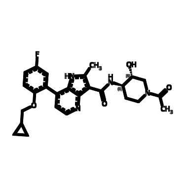 CC(=O)N1CC[C@@H](NC(=O)c2c(C)[nH]c3c(-c4cc(F)ccc4OCC4CC4)ccnc23)[C@H](O)C1